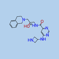 O=C(NC[C@@H](O)CN1CCc2ccccc2C1)c1cc(NC2CNC2)ncn1